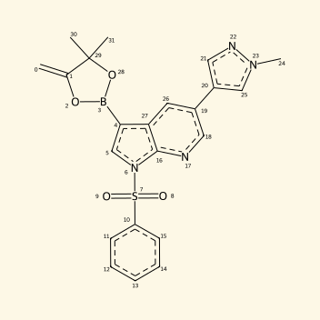 C=C1OB(c2cn(S(=O)(=O)c3ccccc3)c3ncc(-c4cnn(C)c4)cc23)OC1(C)C